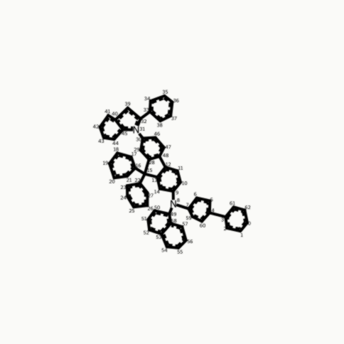 c1ccc(-c2ccc(N(c3ccc4c(c3)C(c3ccccc3)(c3ccccc3)c3cc(-n5c(-c6ccccc6)cc6ccccc65)ccc3-4)c3cccc4ccccc34)cc2)cc1